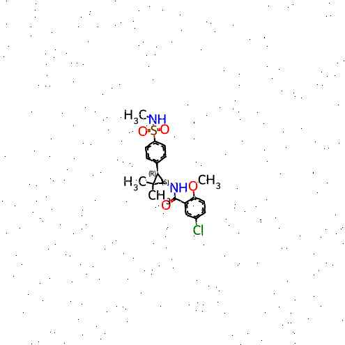 CNS(=O)(=O)c1ccc([C@H]2[C@H](NC(=O)c3cc(Cl)ccc3OC)C2(C)C)cc1